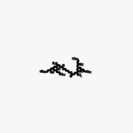 CCCCCCCCCCCCC(O)CN(CCN(C)CCC(=O)OCCCCOC(=O)CCN(C)CCN(CC(O)CCCCCCCCCCCC)CC(O)CCCCCCCCCCCC)CC(O)CCCCCCCCCCCC